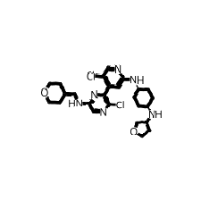 Clc1cnc(N[C@H]2CC[C@H](NC3CCOC3)CC2)cc1-c1nc(NCC2CCOCC2)cnc1Cl